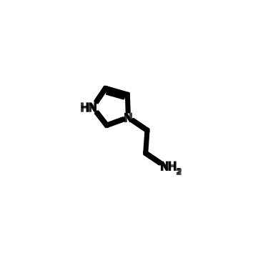 NCCN1C=CNC1